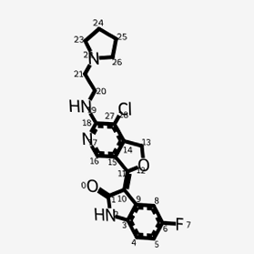 O=C1Nc2ccc(F)cc2/C1=C1\OCc2c1cnc(NCCN1CCCC1)c2Cl